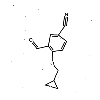 N#Cc1ccc(OCC2CC2)c(C=O)c1